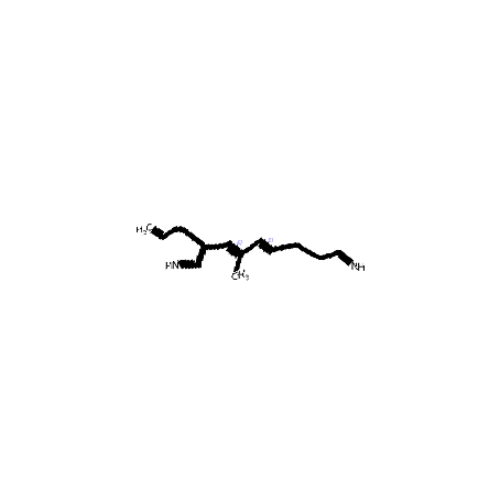 C=CCC(C=N)/C=C(C)/C=C/CCC=N